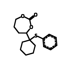 O=C1OCCCC(C2(Sc3ccccc3)CCCCC2)O1